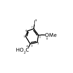 COc1cc(C(=O)O)ccc1I